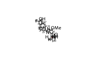 COc1cc(C(=O)N2C[C@H]3CC[C@@H]2[C@@H]3N)cc2nc(-c3cc4scc(-c5ccc(O)c(F)c5)c4n3CC3CC3)n(C)c12